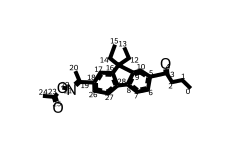 CCCC(=O)c1ccc2c(c1)C(CC)(CC)c1cc(C(C)=NOC(C)=O)ccc1-2